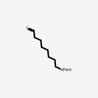 CCCCCCCCCCCC[C]=S